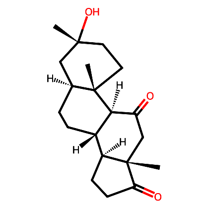 C[C@@]1(O)CC[C@@]2(C)[C@@H](CC[C@@H]3[C@@H]2C(=O)C[C@]2(C)C(=O)CC[C@@H]32)C1